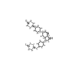 CN1CCN(Cc2ccc(-c3c[nH]c4ncc(-c5ccc(N6CCN(C)CC6)cc5)cc34)cc2)CC1